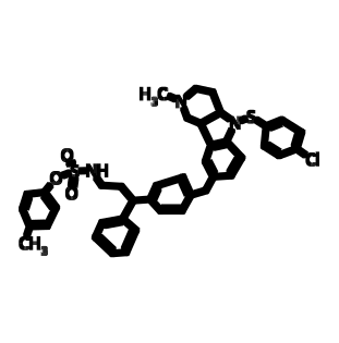 Cc1ccc(OS(=O)(=O)NCCC(c2ccccc2)c2ccc(Cc3ccc4c(c3)C3CN(C)CCC3N4Sc3ccc(Cl)cc3)cc2)cc1